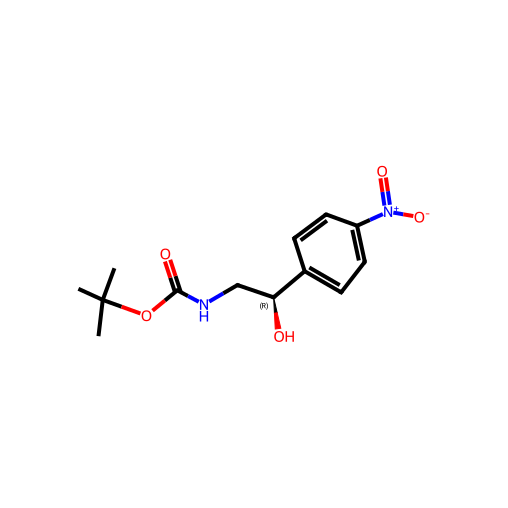 CC(C)(C)OC(=O)NC[C@H](O)c1ccc([N+](=O)[O-])cc1